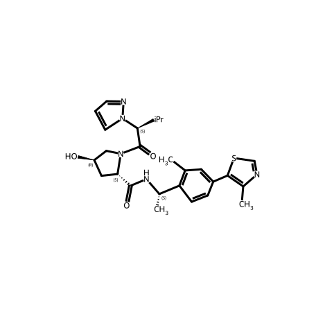 Cc1cc(-c2scnc2C)ccc1[C@H](C)NC(=O)[C@@H]1C[C@@H](O)CN1C(=O)[C@H](C(C)C)n1cccn1